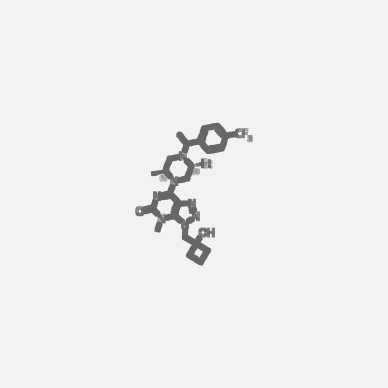 CC[C@@H]1CN(c2nc(=O)n(C)c3c2nnn3CC2(O)CCC2)[C@@H](C)CN1C(C)c1ccc(C(F)(F)F)cc1